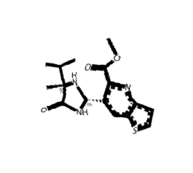 COC(=O)c1nc2ccsc2cc1[C@@H]1NC(=O)[C@](C)(C(C)C)N1